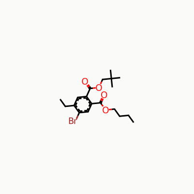 CCCCOC(=O)c1cc(Br)c(CC)cc1C(=O)OCC(C)(C)C